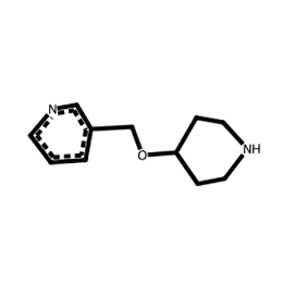 c1cncc(COC2CCNCC2)c1